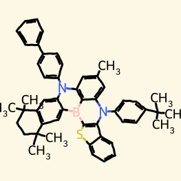 Cc1cc2c3c(c1)N(c1ccc(C(C)(C)C)cc1)c1c(sc4ccccc14)B3c1cc3c(cc1N2c1ccc(-c2ccccc2)cc1)C(C)(C)CCC3(C)C